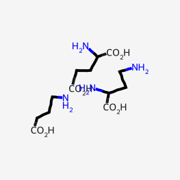 NC(CCC(=O)O)C(=O)O.NCCC(N)C(=O)O.NCCCC(=O)O